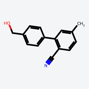 Cc1ccc(C#N)c(-c2ccc(CO)cc2)c1